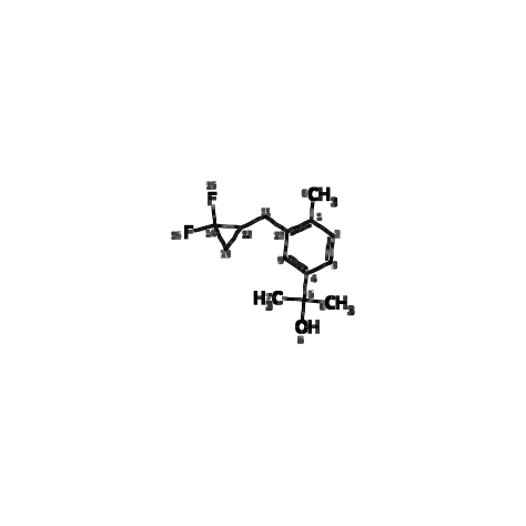 Cc1ccc(C(C)(C)O)cc1CC1CC1(F)F